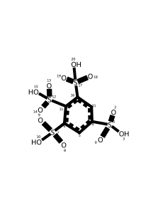 O=S(=O)(O)c1cc(S(=O)(=O)O)c(S(=O)(=O)O)c(S(=O)(=O)O)c1